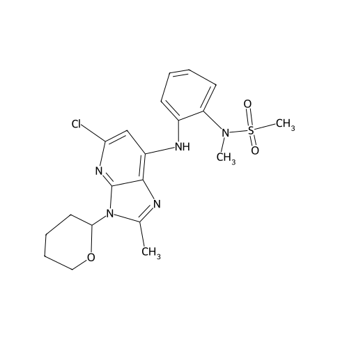 Cc1nc2c(Nc3ccccc3N(C)S(C)(=O)=O)cc(Cl)nc2n1C1CCCCO1